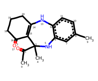 CC(=O)C1(C)Nc2cc(C)ccc2NC2=C1C(=O)CCC2